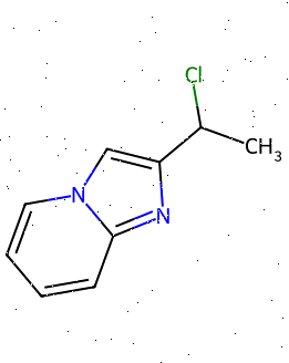 CC(Cl)c1cn2ccccc2n1